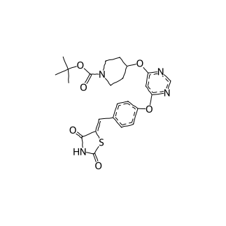 CC(C)(C)OC(=O)N1CCC(Oc2cc(Oc3ccc(/C=C4\SC(=O)NC4=O)cc3)ncn2)CC1